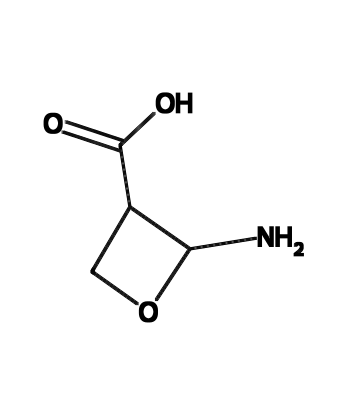 NC1OCC1C(=O)O